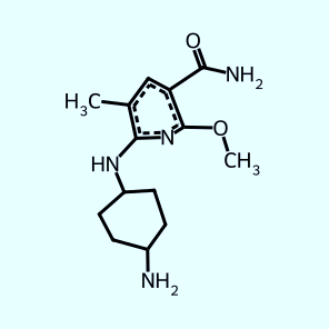 COc1nc(NC2CCC(N)CC2)c(C)cc1C(N)=O